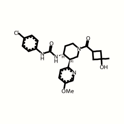 COc1ccc([C@@H]2CN(C(=O)C3CC(C)(O)C3)CC[C@H]2NC(=O)Nc2ccc(Cl)cc2)nc1